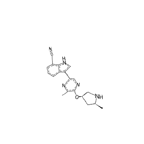 Cc1nc(-c2c[nH]c3c(C#N)cccc23)cnc1O[C@H]1CN[C@@H](C)C1